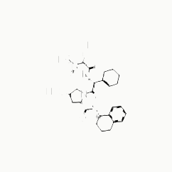 C[C@H]1C[C@@H](C(=O)N[C@@H]2CCCc3ccccc32)N(C(=O)[C@@H](NC(=O)[C@H](C)N(C)C)C2=CCCCC2)C1